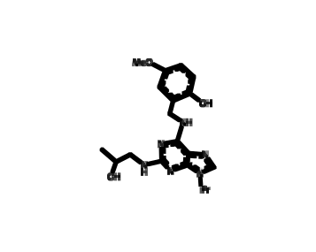 COc1ccc(O)c(CNc2nc(NCC(C)O)nc3c2ncn3C(C)C)c1